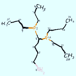 BCCCC(P(CCC)CCC)P(CCC)CCC